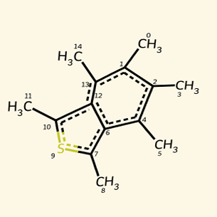 Cc1c(C)c(C)c2c(C)sc(C)c2c1C